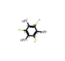 CCCc1c(F)c(CCC)c(F)c(CCC)c1F